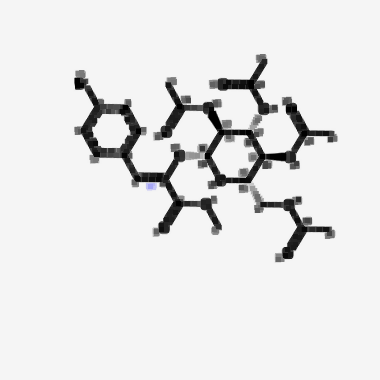 COC(=O)/C(=C/c1ccc(Br)cc1)O[C@H]1O[C@@H](COC(C)=O)[C@H](OC(C)=O)[C@@H](OC(C)=O)[C@@H]1OC(C)=O